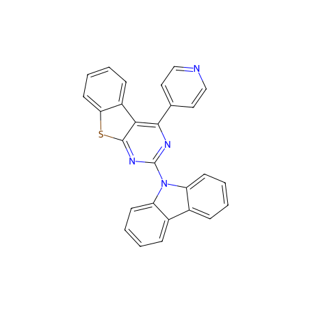 c1ccc2c(c1)sc1nc(-n3c4ccccc4c4ccccc43)nc(-c3ccncc3)c12